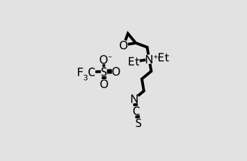 CC[N+](CC)(CCCN=C=S)CC1CO1.O=S(=O)([O-])C(F)(F)F